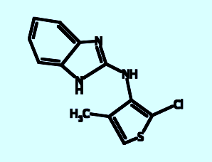 Cc1csc(Cl)c1Nc1nc2ccccc2[nH]1